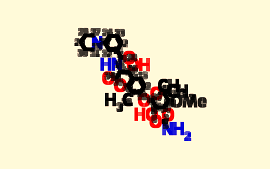 CO[C@@H]1[C@@H](OC(N)=O)[C@@H](O)[C@H](Oc2ccc3c(O)c(NC(=O)c4cccc(N5CCCCC5)c4)c(=O)oc3c2C)OC1(C)C